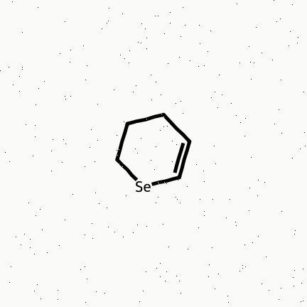 C1=C[Se]CCC1